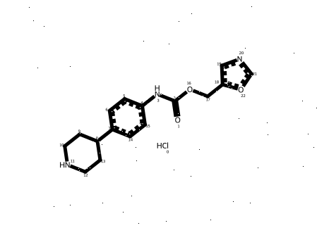 Cl.O=C(Nc1ccc(C2CCNCC2)cc1)OCc1cnco1